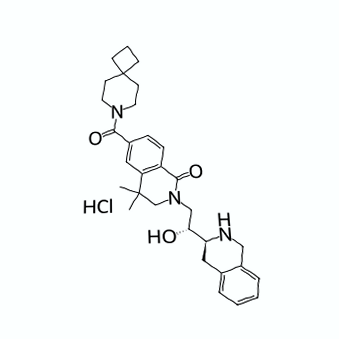 CC1(C)CN(C[C@@H](O)[C@@H]2Cc3ccccc3CN2)C(=O)c2ccc(C(=O)N3CCC4(CCC4)CC3)cc21.Cl